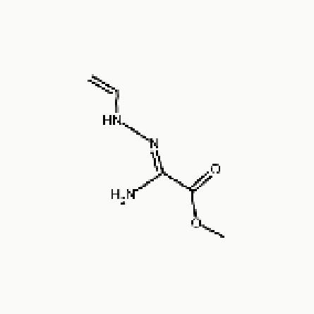 C=CN/N=C(\N)C(=O)OC